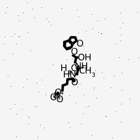 CC(C)(CNC(=O)CCCCO[N+](=O)[O-])NCC(O)COc1cccc2c1C(=O)CC2